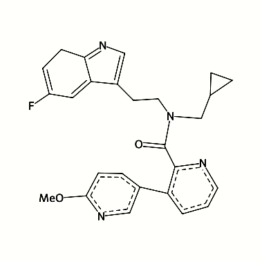 COc1ccc(-c2cccnc2C(=O)N(CCC2=CN=C3CC=C(F)C=C23)CC2CC2)cn1